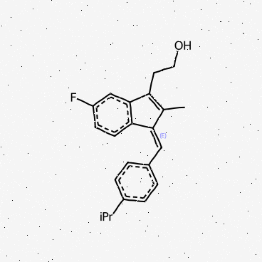 CC1=C(CCO)c2cc(F)ccc2/C1=C\c1ccc(C(C)C)cc1